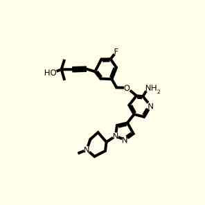 CN1CCC(n2cc(-c3cnc(N)c(OCc4cc(F)cc(C#CC(C)(C)O)c4)c3)cn2)CC1